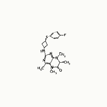 Cc1nc(N[C@H]2C[C@H](Sc3ccc(F)cc3)C2)nc2c1N(C)C(=O)[C@H](C)N2C